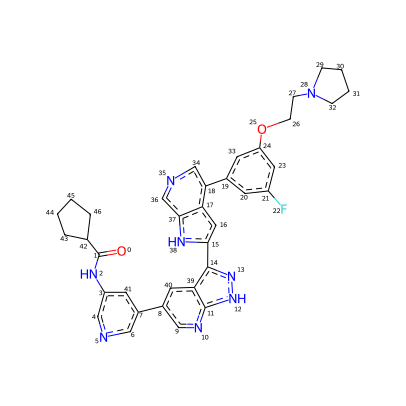 O=C(Nc1cncc(-c2cnc3[nH]nc(-c4cc5c(-c6cc(F)cc(OCCN7CCCC7)c6)cncc5[nH]4)c3c2)c1)C1CCCC1